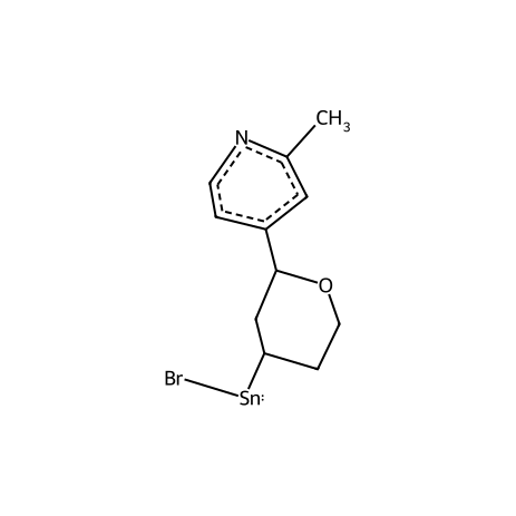 Cc1cc(C2C[CH]([Sn][Br])CCO2)ccn1